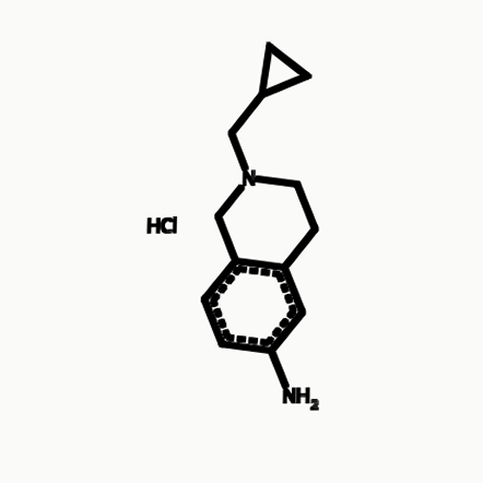 Cl.Nc1ccc2c(c1)CCN(CC1CC1)C2